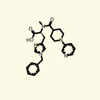 CN(C(=O)C1CCN(c2cccnc2)CC1)[C@@H](Cc1cn(Cc2ccccc2)cn1)C(=O)O